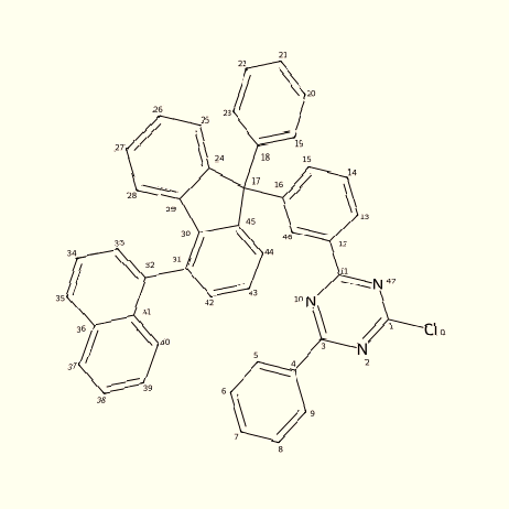 Clc1nc(-c2ccccc2)nc(-c2cccc(C3(c4ccccc4)c4ccccc4-c4c(-c5cccc6ccccc56)cccc43)c2)n1